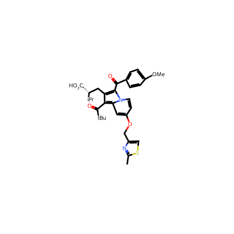 COc1ccc(C(=O)c2c(C[C@@H](C(=O)O)C(C)C)c(C(=O)C(C)(C)C)c3cc(OCc4csc(C)n4)ccn23)cc1